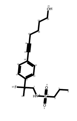 CCCS(=O)(=O)NCC(C)(F)c1ccc(C#CCCCCO)cc1